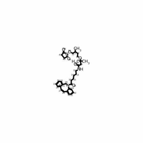 CC(CCOC(C)(C)CC(=O)NCCCCCC(=O)N1Cc2ccccc2/C=C\c2ccccc21)CON1C(=O)CCC1=O